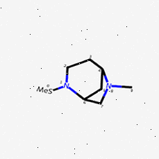 CSN1CCC2CC1CN2C